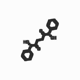 O=C(CCC(=O)N(O)c1ccccc1)N(O)c1ccccc1